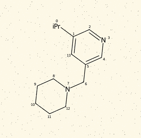 CC(C)c1cncc(CN2CCCCC2)c1